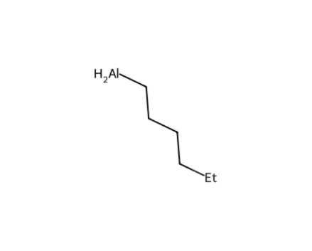 CCCCC[CH2][AlH2]